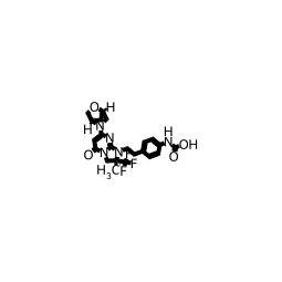 C[C@@]1(C(F)(F)F)Cn2c(nc(N3C[C@@H]4C[C@H]3CO4)cc2=O)N1CCc1ccc(NC(=O)O)cc1